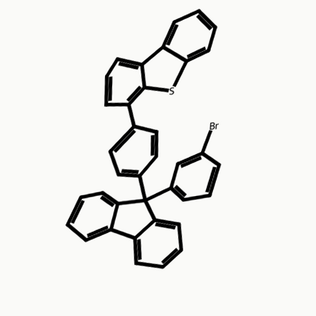 Brc1cccc(C2(c3ccc(-c4cccc5c4sc4ccccc45)cc3)c3ccccc3-c3ccccc32)c1